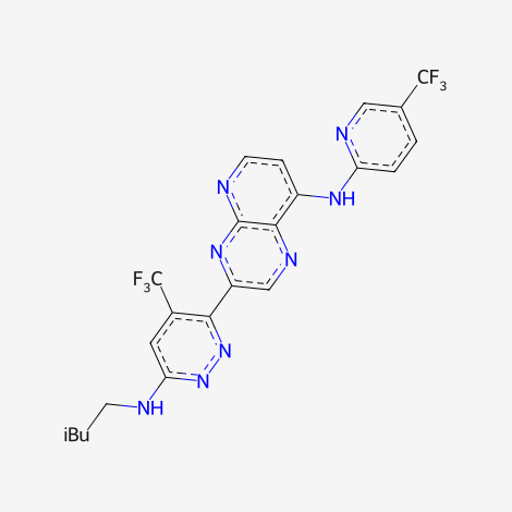 CCC(C)CNc1cc(C(F)(F)F)c(-c2cnc3c(Nc4ccc(C(F)(F)F)cn4)ccnc3n2)nn1